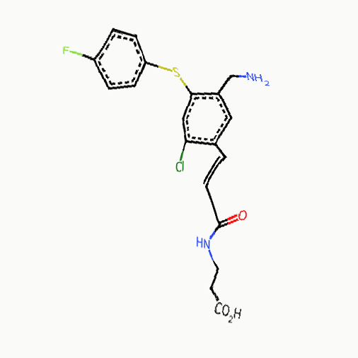 NCc1cc(/C=C/C(=O)NCCC(=O)O)c(Cl)cc1Sc1ccc(F)cc1